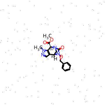 COC(=O)[C@@H]1c2c(cnn2C)[C@@H]2CN1C(=O)N2OCc1ccccc1